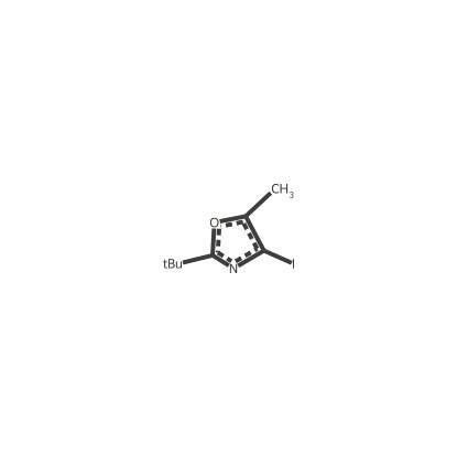 Cc1oc(C(C)(C)C)nc1I